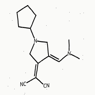 CN(C)C=C1CN(C2CCCC2)CC1=C(C#N)C#N